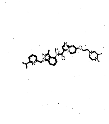 Cc1nn(Cc2cccc(C(C)C)n2)c2cccc(NC(=O)c3cnc4cc(OCCN5CCN(C)[C@H](C)C5)ccn34)c12